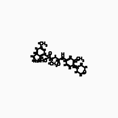 Cc1cc(S(=O)(=O)N(C)CC(=O)Nc2ccc(N3CCOCC3)c(C)c2)c2[nH]ncc2c1